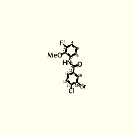 COc1c(F)cccc1NC(=O)c1ccc(Cl)c(Br)c1